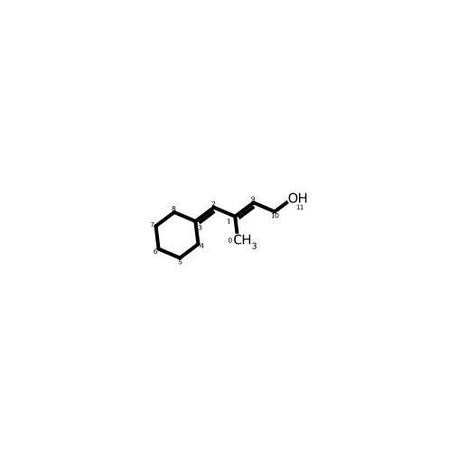 C/C(C=C1CCCCC1)=C\CO